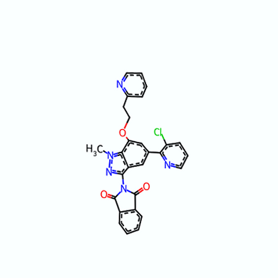 Cn1nc(N2C(=O)c3ccccc3C2=O)c2cc(-c3ncccc3Cl)cc(OCCc3ccccn3)c21